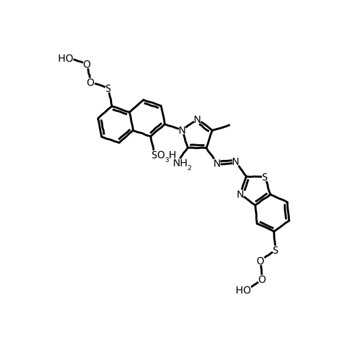 Cc1nn(-c2ccc3c(SOOO)cccc3c2S(=O)(=O)O)c(N)c1/N=N/c1nc2cc(SOOO)ccc2s1